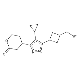 CC(C)CC1CC(c2onc(C3CCOC(=O)C3)c2C2CC2)C1